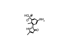 Cc1cc(=O)n(-c2cc(N)cc(S(=O)(=O)O)c2C)[nH]1